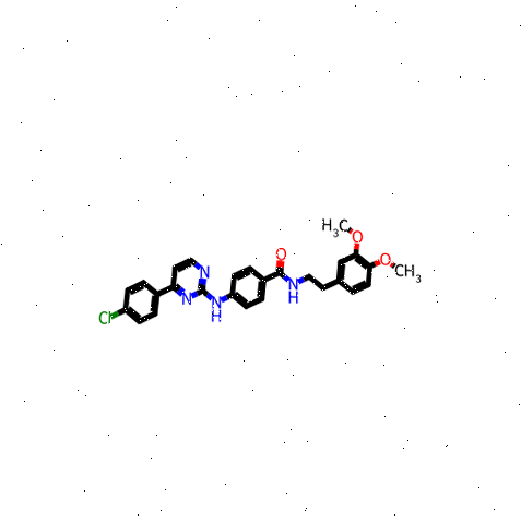 COc1ccc(CCNC(=O)c2ccc(Nc3nccc(-c4ccc(Cl)cc4)n3)cc2)cc1OC